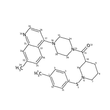 Cc1ccc(SN2CCCC(C(=O)N3CCN(c4ccnc5cc(C)ccc45)CC3)C2)cc1